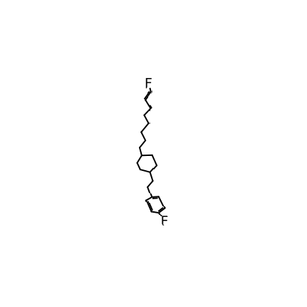 F/C=C/CCCCCCC1CCC(CCc2ccc(F)cc2)CC1